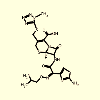 CC(N)CO/N=C(\C(=O)NC1C(=O)N2C(C(=O)O)=C(CSc3nnnn3C)CS[C@H]12)c1csc(N)n1